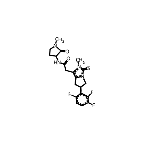 CN1CCC(NC(=O)Cc2c3n(c(=S)n2C)CC(c2c(F)ccc(F)c2F)C3)C1=O